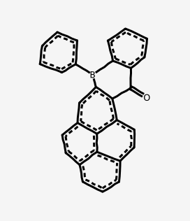 O=C1c2ccccc2B(c2ccccc2)c2cc3ccc4cccc5ccc(c21)c3c45